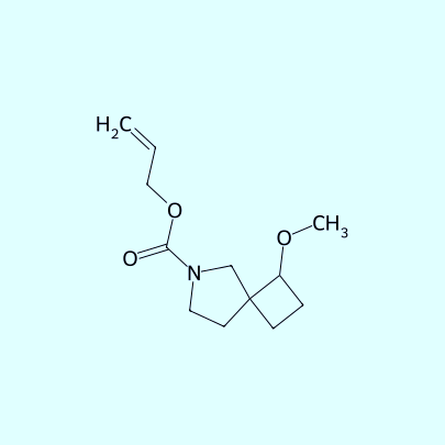 C=CCOC(=O)N1CCC2(CCC2OC)C1